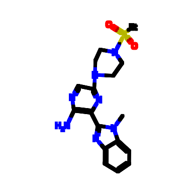 CCS(=O)(=O)N1CCN(c2cnc(N)c(-c3nc4ccccc4n3C)n2)CC1